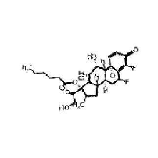 CCCCCC(=O)O[C@@]1(C(=O)CO)[C@H](C)C[C@H]2[C@@H]3C[C@H](F)C4=C(F)C(=O)C=C[C@]4(C)[C@H]3[C@@H](O)C[C@@]21C